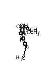 CCCCCCCOc1ccc(-c2ccc(-c3ccc(CC(NC(=O)c4ccc(C(C)(C)C)s4)C(=O)O)cc3)nn2)cc1